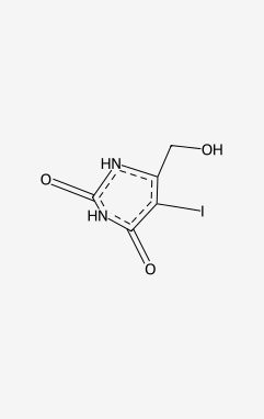 O=c1[nH]c(CO)c(I)c(=O)[nH]1